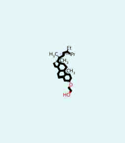 CC[C@H](/C=C/[C@@H](C)[C@H]1CCC2C3CC=C4C[C@@H](OCCO)CC[C@]4(C)C3CC[C@@]21C)C(C)C